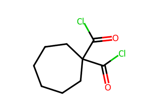 O=C(Cl)C1(C(=O)Cl)CCCCCC1